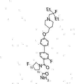 CCC(F)(CC)CN1CCC(COc2ccc(-c3ccc(C(=O)N4C[C@@H](F)C[C@H]4C(N)=O)c(F)c3)cc2)CC1